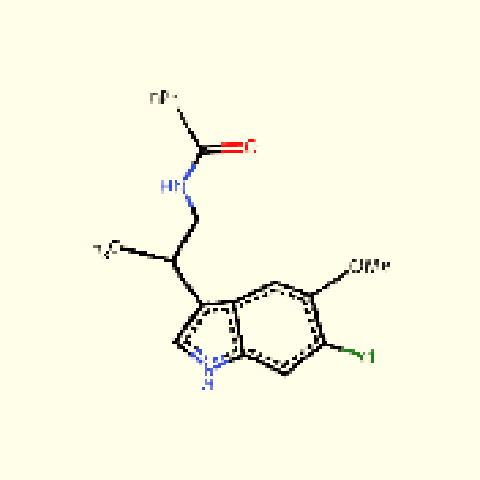 CCCC(=O)NCC(C)c1c[nH]c2cc(Cl)c(OC)cc12